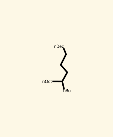 CCCCCCCCCCCCCC(CCCC)CCCCCCCC